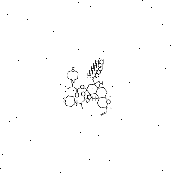 C=C[C@@]1(C)CC[C@@H]2[C@@]3(C)C(=O)C(OC(=O)C(C)N4CCSCC4)(OC(=O)C(C)N4CCSCC4)CC(C)(C)[C@@H]3CC[C@@]2(C)O1.Cl.Cl.O.O.O